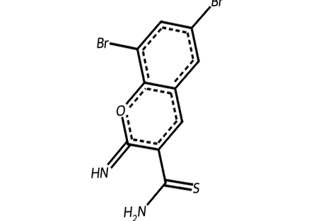 N=c1oc2c(Br)cc(Br)cc2cc1C(N)=S